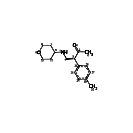 CC(=O)[C@H](CNC1CCOCC1)c1ccc(C)cc1